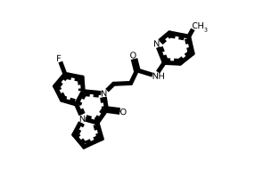 Cc1ccc(NC(=O)CCn2c(=O)c3cccn3c3ccc(F)cc32)nc1